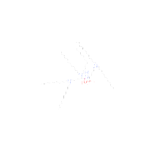 CCCCCCCCCCCCN(CCCCCCCCCCCC)CCCCC(NC(=O)C(CCCCN(CCCCCCCCCCCC)CCCCCCCCCCCC)N(CCCCCCCCCCCC)CCCCCCCCCCCC)C(=O)O